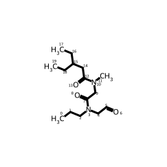 CCCN(CC=O)C(=O)CN(C)C(=O)CC(CC)CC